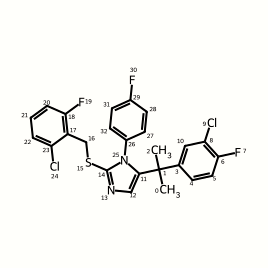 CC(C)(c1ccc(F)c(Cl)c1)c1cnc(SCc2c(F)cccc2Cl)n1-c1ccc(F)cc1